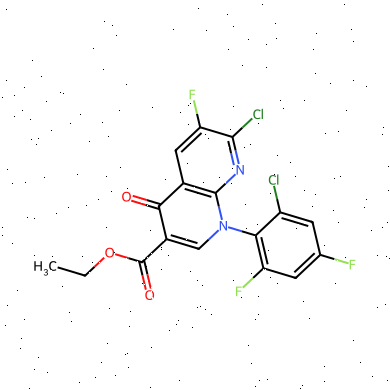 CCOC(=O)c1cn(-c2c(F)cc(F)cc2Cl)c2nc(Cl)c(F)cc2c1=O